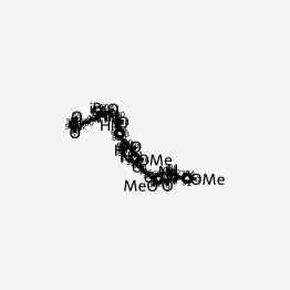 COc1ccc(C2=CN3C(=O)c4cc(OC)c(OCCCOc5cc6c(cc5OC)C(=O)N5CC(c7ccc(NC(=O)[C@H](C)NC(=O)[C@@H](NC(=O)CCCCCN8C(=O)C=CC8=O)C(C)C)cc7)C[C@H]5C=N6)cc4N=C[C@@H]3C2)cc1